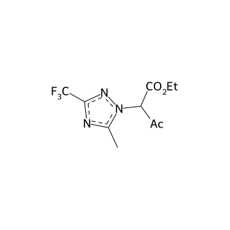 CCOC(=O)C(C(C)=O)n1nc(C(F)(F)F)nc1C